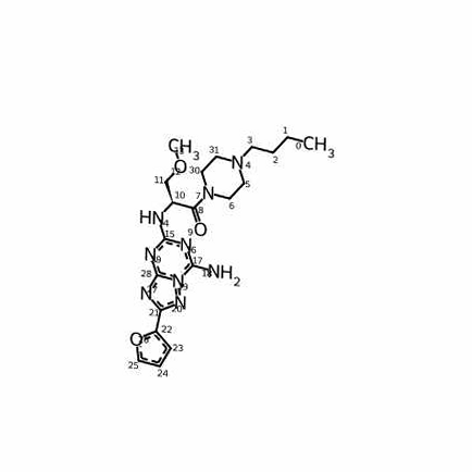 CCCCN1CCN(C(=O)[C@H](COC)Nc2nc(N)n3nc(-c4ccco4)nc3n2)CC1